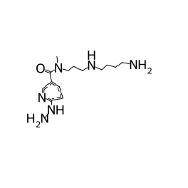 CN(CCCNCCCCN)C(=O)c1ccc(NN)nc1